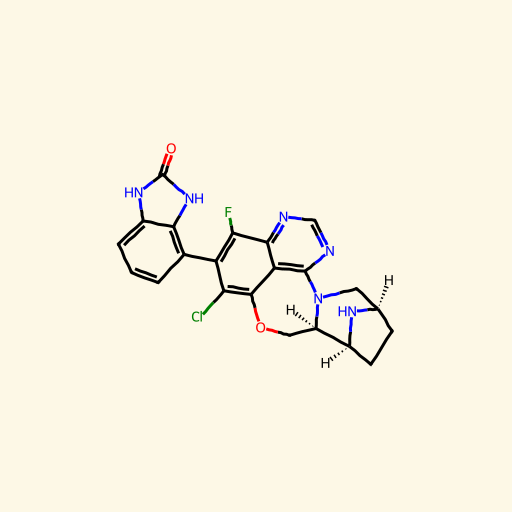 O=c1[nH]c2cccc(-c3c(Cl)c4c5c(ncnc5c3F)N3C[C@H]5CC[C@H](N5)[C@H]3CO4)c2[nH]1